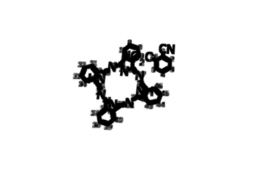 N#Cc1ccccc1C(=O)O.c1ccc2c(c1)-c1nc-2nc2[nH]c(nc3nc(nc4[nH]c(n1)c1ccccc41)-c1ccccc1-3)c1ccccc21